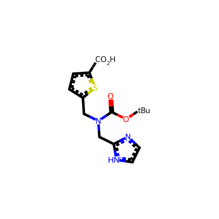 CC(C)(C)OC(=O)N(Cc1ncc[nH]1)Cc1ccc(C(=O)O)s1